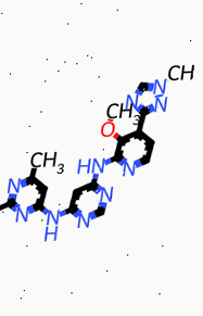 COc1c(-c2ncn(C)n2)ccnc1Nc1cc(Nc2cc(C)nc(C)n2)ncn1